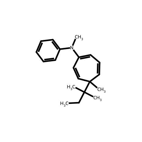 CCC(C)(C)C1(C)C=CC=C(N(C)c2ccccc2)C=C1